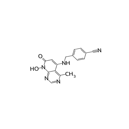 Cc1ncnc2c1c(NCc1ccc(C#N)cc1)cc(=O)n2O